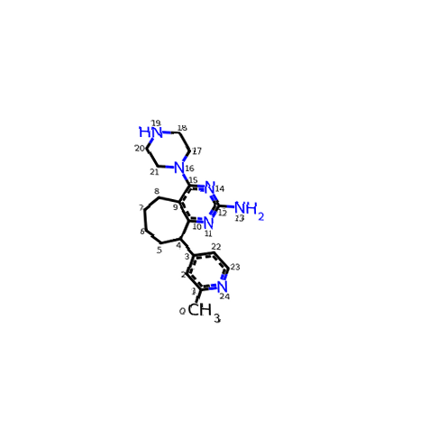 Cc1cc(C2CCCCc3c2nc(N)nc3N2CCNCC2)ccn1